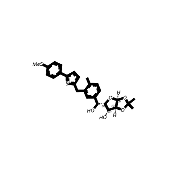 CSc1ccc(-c2ccc(Cc3cc(C(O)[C@@H]4O[C@H]5OC(C)(C)O[C@H]5[C@@H]4O)ccc3C)s2)cc1